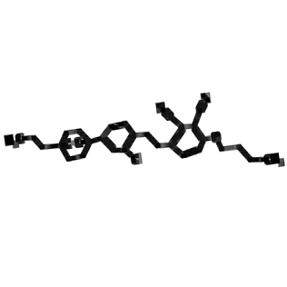 CCCCOc1ccc(CCc2ccc(C34CCC(CCC)(CC3)CC4)cc2Cl)c(C#N)c1C#N